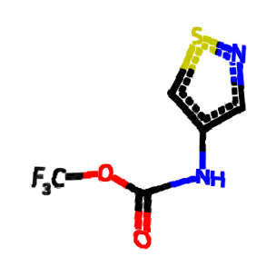 O=C(Nc1cnsc1)OC(F)(F)F